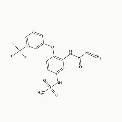 C=CC(=O)Nc1cc(NS(C)(=O)=O)ccc1Oc1cccc(C(F)(F)F)c1